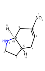 O=[N+]([O-])C1=CC[C@H]2CCN[C@H]2C1